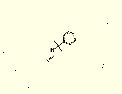 CC(C)(NC=S)c1ccccc1